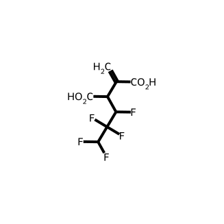 C=C(C(=O)O)C(C(=O)O)C(F)C(F)(F)C(F)F